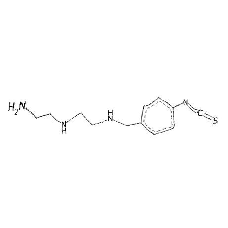 NCCNCCNCc1ccc(N=C=S)cc1